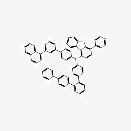 c1ccc(-c2ccc(-c3ccccc3-c3ccc(N(c4ccc(-c5cccc(-c6cccc7ccccc67)c5)cc4)c4ccc(-c5ccccc5)c5oc6ccccc6c45)cc3)cc2)cc1